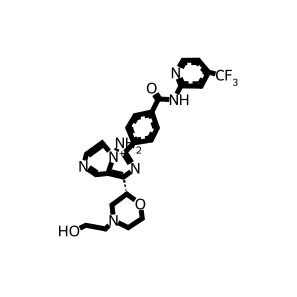 N[N+]12C=CN=CC1=C([C@H]1CN(CCO)CCO1)N=C2c1ccc(C(=O)Nc2cc(C(F)(F)F)ccn2)cc1